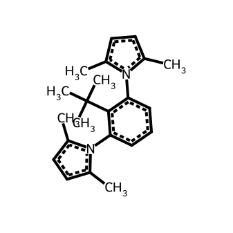 Cc1ccc(C)n1-c1cccc(-n2c(C)ccc2C)c1C(C)(C)C